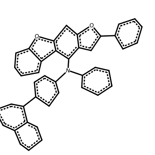 c1ccc(-c2cc3c(N(c4ccccc4)c4ccc(-c5cccc6ccccc56)cc4)c4c(cc3o2)oc2ccccc24)cc1